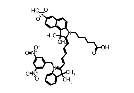 CC1(C)C(/C=C/C=C/C=C2/N(CCCCCC(=O)O)c3ccc4cc(S(=O)(=O)O)ccc4c3C2(C)C)=[N+](Cc2cc([N+](=O)[O-])cc([N+](=O)[O-])c2)c2ccccc21